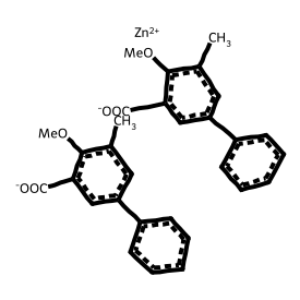 COc1c(C)cc(-c2ccccc2)cc1C(=O)[O-].COc1c(C)cc(-c2ccccc2)cc1C(=O)[O-].[Zn+2]